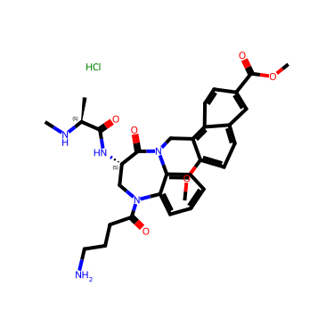 CN[C@@H](C)C(=O)N[C@H]1CN(C(=O)CCCN)c2ccccc2N(Cc2c(OC)ccc3cc(C(=O)OC)ccc23)C1=O.Cl